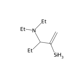 C=C([SiH3])C(CC)N(CC)CC